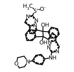 C[S+]([O-])c1ncc2ccc(C(O)(c3ccccc3)C(O)(c3ccccc3)c3ccc4cnc(Nc5ccc(N6CCOCC6)cc5)nn34)n2n1